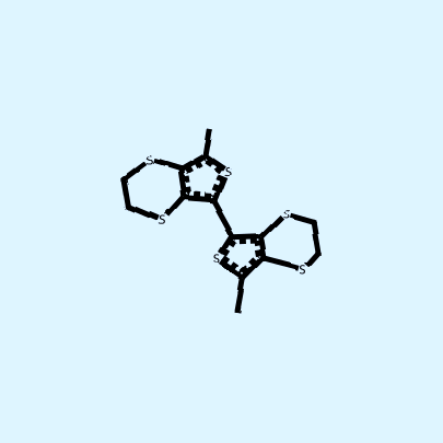 Cc1sc(-c2sc(C)c3c2SCCS3)c2c1SCCS2